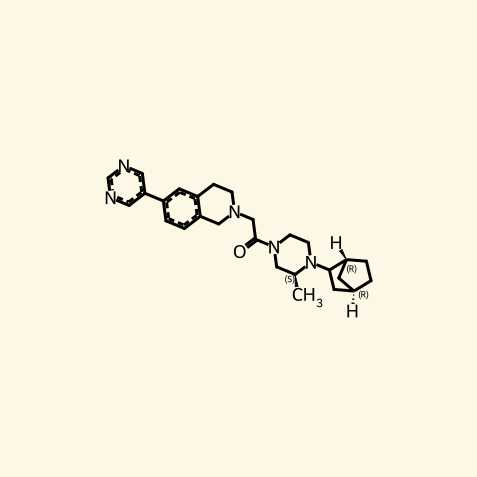 C[C@H]1CN(C(=O)CN2CCc3cc(-c4cncnc4)ccc3C2)CCN1C1C[C@@H]2CC[C@@H]1C2